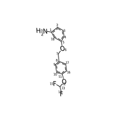 Nc1cccc(OCc2ccc(OC(F)F)cc2)c1